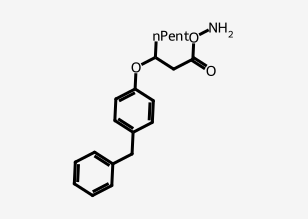 CCCCCC(CC(=O)ON)Oc1ccc(Cc2ccccc2)cc1